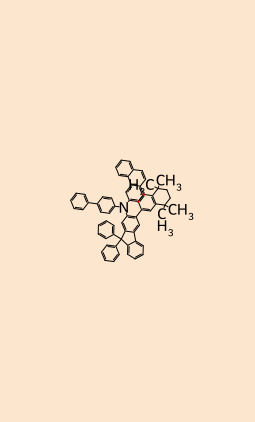 CC1(C)CCC(C)(C)c2cc(-c3cc4c(cc3N(c3ccc(-c5ccccc5)cc3)c3ccc5ccc6ccccc6c5c3)C(c3ccccc3)(c3ccccc3)c3ccccc3-4)ccc21